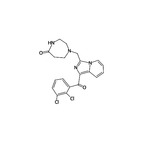 O=C1CCN(Cc2nc(C(=O)c3cccc(Cl)c3Cl)c3ccccn23)CCN1